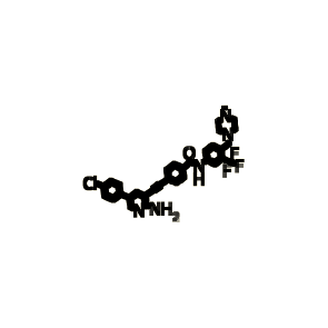 CN1CCN(Cc2ccc(NC(=O)c3ccc(C#Cc4cc(-c5ccc(Cl)cc5)cnc4N)cc3)cc2C(F)(F)F)CC1